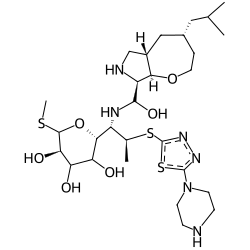 CSC1O[C@H]([C@H](NC(O)[C@H]2NC[C@@H]3C[C@H](CC(C)C)CCO[C@H]32)[C@H](C)Sc2nnc(N3CCNCC3)s2)C(O)C(O)[C@H]1O